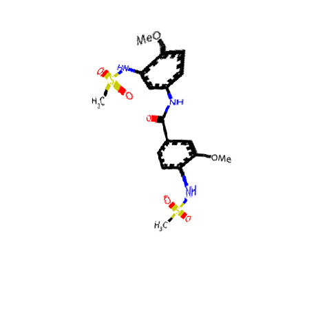 COc1ccc(NC(=O)c2ccc(NS(C)(=O)=O)c(OC)c2)cc1NS(C)(=O)=O